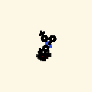 [2H]C([2H])([2H])C1(C)C(C)(C)c2cc3c(cc2C1(C([2H])([2H])[2H])C([2H])([2H])[2H])nc1c2ccccc2c2cc(C(C)(C)C)ccc2n31